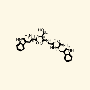 C[C@@H](O)[C@H](NC(=O)[C@@H](N)Cc1c[nH]c2ccccc12)C(=O)NCC(=O)N[C@@H](Cc1c[nH]c2ccccc12)C(N)=O